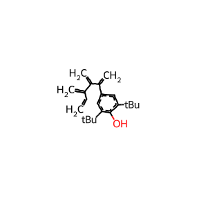 C=CC(=C)C(=C)C(=C)c1cc(C(C)(C)C)c(O)c(C(C)(C)C)c1